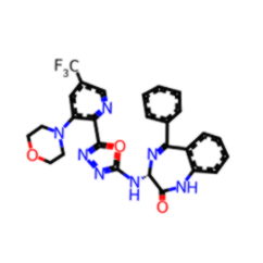 O=C1Nc2ccccc2C(c2ccccc2)=N[C@H]1Nc1nnc(-c2ncc(C(F)(F)F)cc2N2CCOCC2)o1